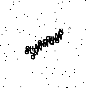 Cc1c(NC(=O)c2nc3c(n2C)CCN(CC2(CCCC(=O)O)CCCC2)C3)cccc1-c1cccc(NC(=O)c2nc3c(n2C)CCN(C)C3)c1Cl